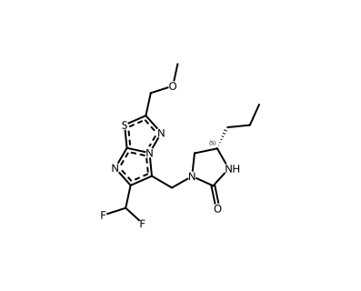 CCC[C@H]1CN(Cc2c(C(F)F)nc3sc(COC)nn23)C(=O)N1